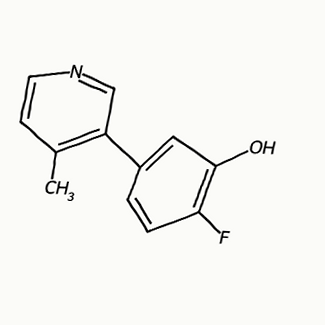 Cc1ccncc1-c1ccc(F)c(O)c1